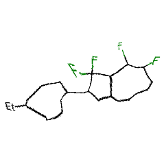 CCC1CCC(C2CC3CCC(F)C(F)C3C2(F)F)CC1